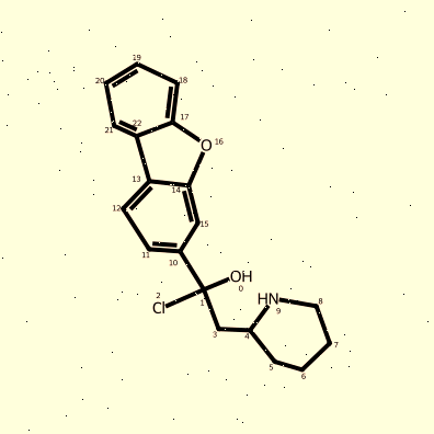 OC(Cl)(CC1CCCCN1)c1ccc2c(c1)oc1ccccc12